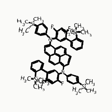 C[Si](C)(C)c1ccc(N(c2cc(-c3ccccc3[Si](C)(C)C)c(F)cc2F)c2ccc3ccc4c(N(c5ccc([Si](C)(C)C)cc5)c5cc(-c6ccccc6[Si](C)(C)C)c(F)cc5F)ccc5ccc2c3c54)cc1